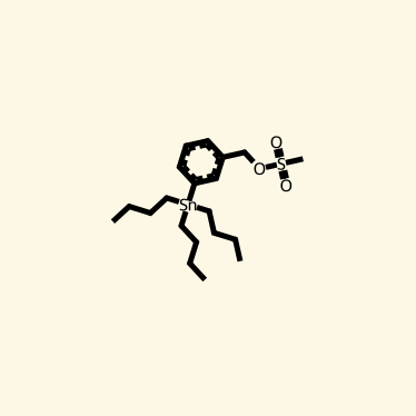 CCC[CH2][Sn]([CH2]CCC)([CH2]CCC)[c]1cccc(COS(C)(=O)=O)c1